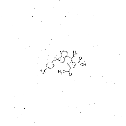 CC(=O)c1cc(C(=O)O)n(C(C)c2ccnc3c2ccn3Oc2ccc(C)cc2)n1